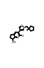 CC1(Cn2cc(-c3cc4c(nc3Cl)C(O)CC4)cn2)CCCC1